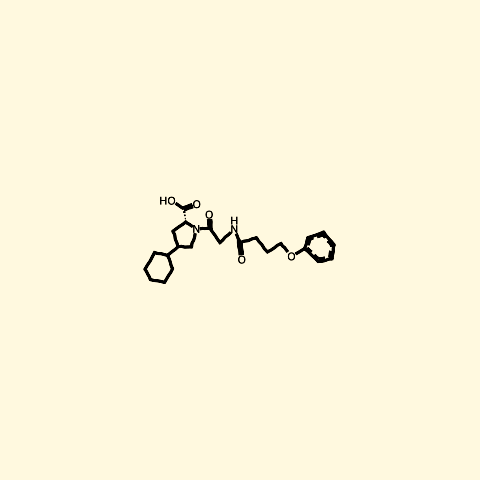 O=C(CCCOc1ccccc1)NCC(=O)N1CC(C2CCCCC2)C[C@@H]1C(=O)O